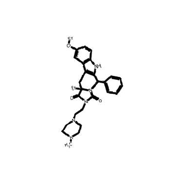 CCOc1ccc2[nH]c3c(c2c1)CC1(CC)C(=O)N(CCN2CCN(C)CC2)C(=O)N1C3c1ccccc1